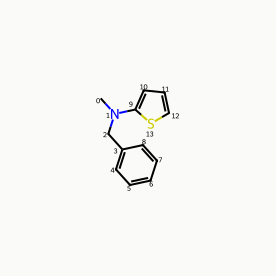 CN(Cc1ccccc1)c1cccs1